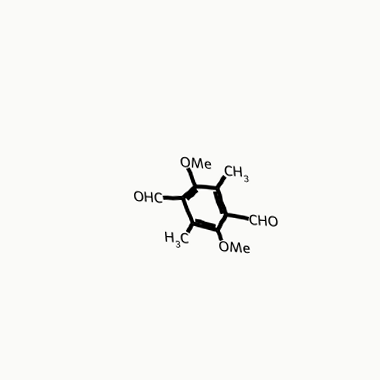 COc1c(C)c(C=O)c(OC)c(C)c1C=O